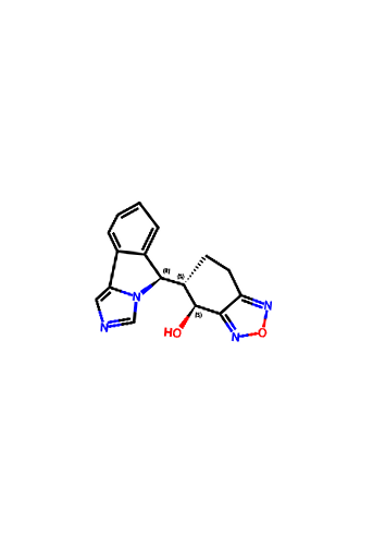 O[C@@H]1c2nonc2CC[C@H]1[C@@H]1c2ccccc2-c2cncn21